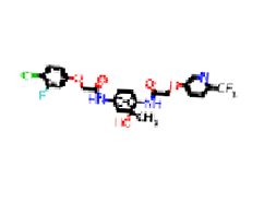 CC1(O)CC2(NC(=O)COc3ccc(Cl)c(F)c3)CCC1(NC(=O)COc1ccc(C(F)(F)F)nc1)CC2